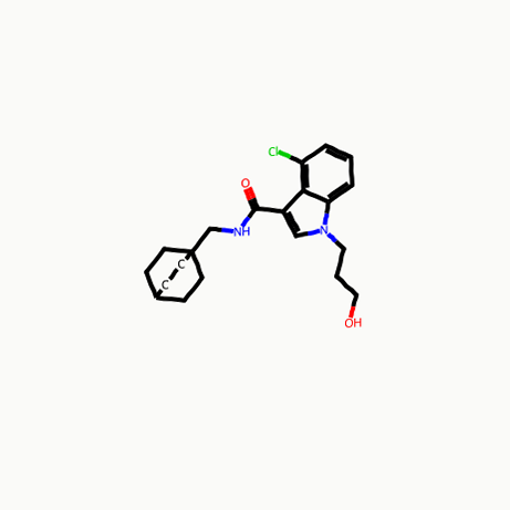 O=C(NCC12CCC(CC1)CC2)c1cn(CCCO)c2cccc(Cl)c12